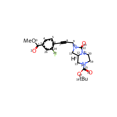 COC(=O)c1ccc(C#CCN2C[C@@H]3CN(C(=O)OC(C)(C)C)CCN3C2=O)c(F)c1